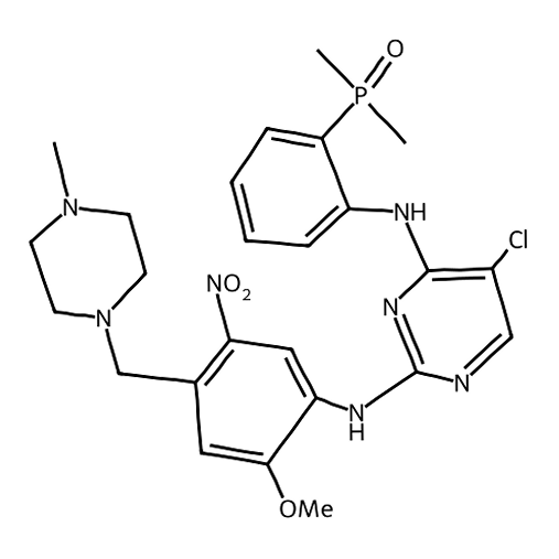 COc1cc(CN2CCN(C)CC2)c([N+](=O)[O-])cc1Nc1ncc(Cl)c(Nc2ccccc2P(C)(C)=O)n1